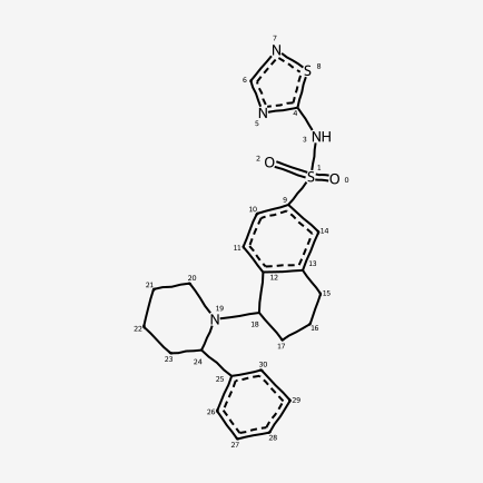 O=S(=O)(Nc1ncns1)c1ccc2c(c1)CCCC2N1CCCCC1c1ccccc1